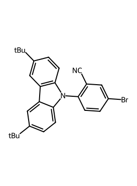 CC(C)(C)c1ccc2c(c1)c1cc(C(C)(C)C)ccc1n2-c1ccc(Br)cc1C#N